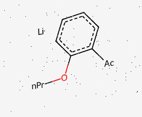 CCCOc1ccccc1C(C)=O.[Li]